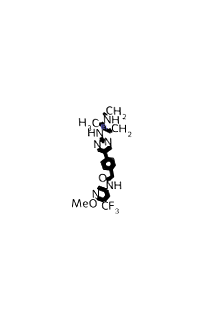 C=CN/C(C)=C(\C=C)Nc1ncc(-c2ccc(CC(=O)Nc3cnc(OC)c(C(F)(F)F)c3)cc2)cn1